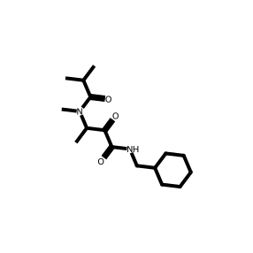 CC(C)C(=O)N(C)C(C)C(=O)C(=O)NCC1CCCCC1